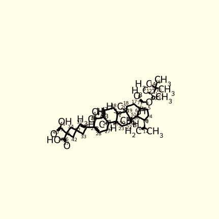 C=C(C)[C@@H]1CC[C@]2(C(=O)O[Si](C)(C)C(C)(C)C)CC[C@]3(C)[C@H](CC[C@@H]4[C@@]5(C)CC=C(C6=CC7(C6)CC(C(=O)O)(C(=O)O)C7)C(C)(C)[C@@H]5CC[C@]43C)[C@@H]12